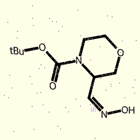 CC(C)(C)OC(=O)N1CCOCC1/C=N\O